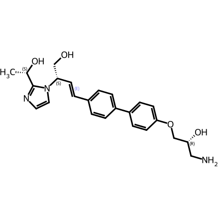 C[C@H](O)c1nccn1[C@@H](/C=C/c1ccc(-c2ccc(OC[C@H](O)CN)cc2)cc1)CO